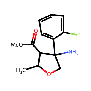 COC(=O)C1C(C)OCC1(N)c1ccccc1F